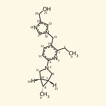 CCc1nc(N2C[C@@H]3[C@H](C)[C@@H]3C2)ccc1Cn1cnc(CO)c1